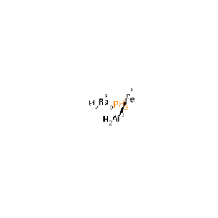 P.[AlH2][Fe].[BaH2]